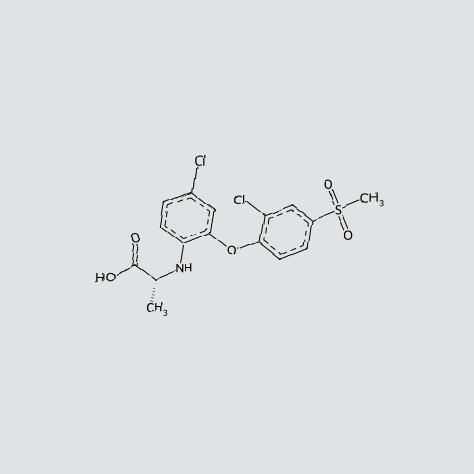 C[C@@H](Nc1ccc(Cl)cc1Oc1ccc(S(C)(=O)=O)cc1Cl)C(=O)O